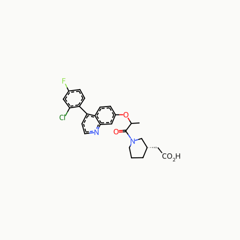 CC(Oc1ccc2c(-c3ccc(F)cc3Cl)ccnc2c1)C(=O)N1CCC[C@@H](CC(=O)O)C1